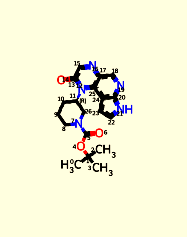 CC(C)(C)OC(=O)N1CCC[C@@H](n2c(=O)cnc3cnc4[nH]ccc4c32)C1